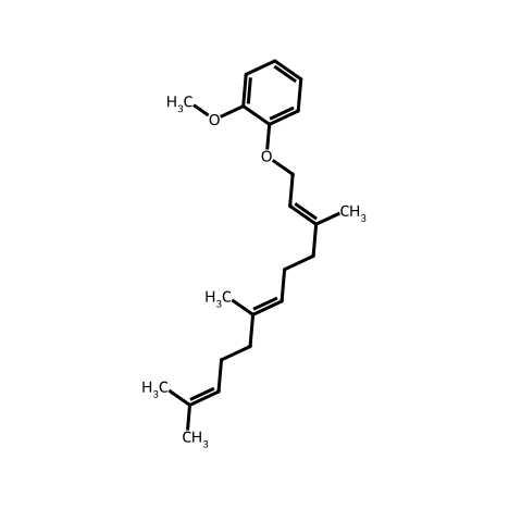 COc1ccccc1OC/C=C(\C)CC/C=C(\C)CCC=C(C)C